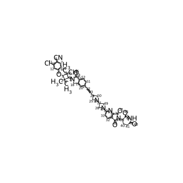 CC1(C)[C@H](Oc2ccc(C#N)c(Cl)c2)C(C)(C)[C@H]1N1Cc2cc(C#CC3CN(C4CN(c5ccc6c(n5)C(=O)N(C5CCC(=O)NC5=O)C6=O)C4)C3)ccc2C1=O